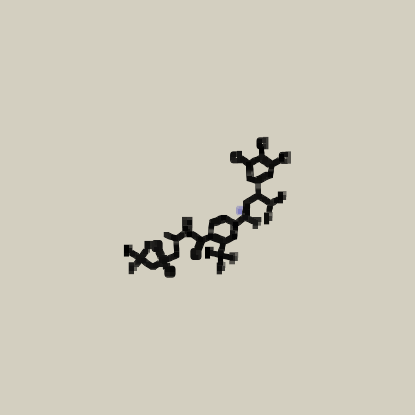 CC(CS(=O)(=O)CC(F)(F)F)NC(=O)c1ccc(/C(F)=C/C(c2cc(Cl)c(Cl)c(Cl)c2)C(F)F)cc1C(F)(F)F